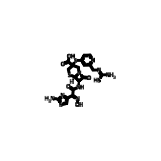 NC(S)=NCc1cc(SC2(C(=O)O)CS[C@@H]3[C@H](NC(=O)C(=NO)c4csc(N)n4)C(=O)N3C2)ccn1